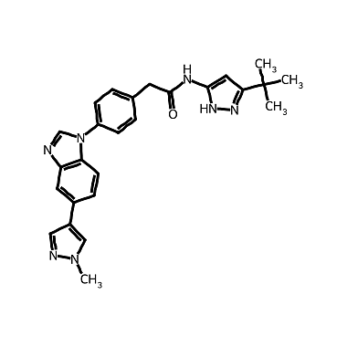 Cn1cc(-c2ccc3c(c2)ncn3-c2ccc(CC(=O)Nc3cc(C(C)(C)C)n[nH]3)cc2)cn1